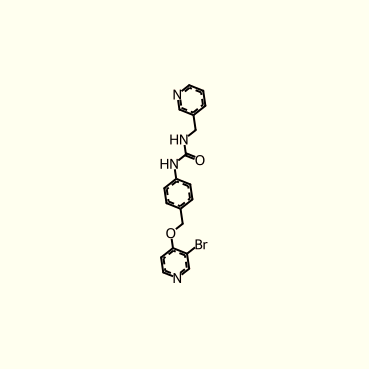 O=C(NCc1cccnc1)Nc1ccc(COc2ccncc2Br)cc1